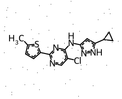 Cc1ccc(-c2ncc(Cl)c(Nc3cc(C4CC4)[nH]n3)n2)s1